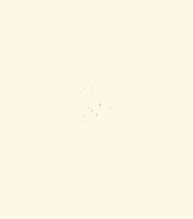 CCCC(C)c1cccc(-n2c(=O)c(C(=O)C(F)(F)F)c(O)c3c4ccccc4ccc32)c1